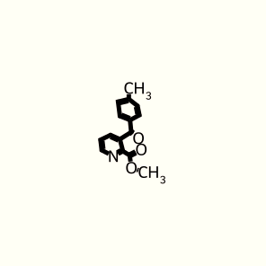 COC(=O)c1ncccc1C(=O)c1ccc(C)cc1